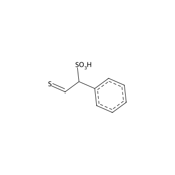 O=S(=O)(O)C([C]=S)c1ccccc1